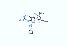 COc1cc(OC)c(Cl)c(-c2cc3cnc(N)nc3c(NCc3ccccc3)n2)c1Cl